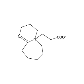 O=C([O-])CC[N+]12CCCCCC1=NCCC2